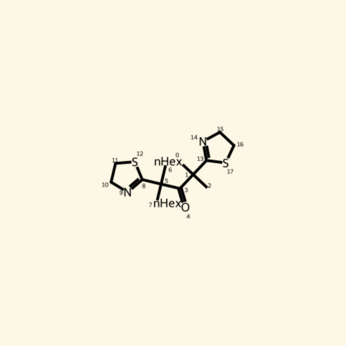 CCCCCCC(C)(C(=O)C(C)(CCCCCC)C1=NCCS1)C1=NCCS1